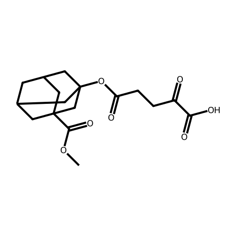 COC(=O)C12CC3CC(CC(OC(=O)CCC(=O)C(=O)O)(C3)C1)C2